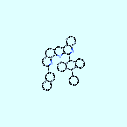 c1ccc(-c2c3ccccc3c(-c3nc4ccccc4c4cc5ccc6ccc(-c7ccc8ccccc8c7)nc6c5nc34)c3ccccc23)cc1